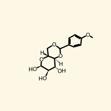 COc1ccc(C2OC[C@H]3O[C@H](O)[C@H](O)[C@@H](O)[C@@H]3O2)cc1